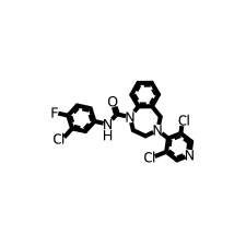 O=C(Nc1ccc(F)c(Cl)c1)N1CCN(c2c(Cl)cncc2Cl)Cc2ccccc21